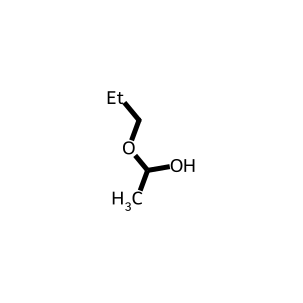 [CH2]CCOC(C)O